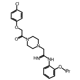 CC(C)Oc1ccccc1NC(=N)CN1CCN(C(=O)COc2ccc(Cl)cc2)CC1